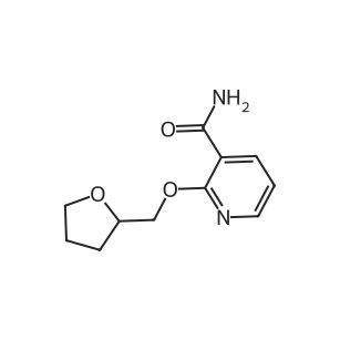 NC(=O)c1cccnc1OCC1CCCO1